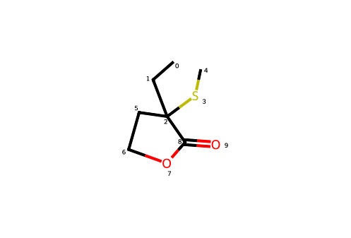 CCC1(SC)CCOC1=O